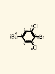 CCC(C)c1cc(Cl)c(Br)c(Cl)c1